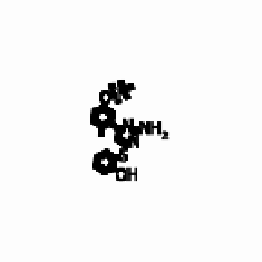 Cc1ccc(O[Si](C)(C)C(C)(C)C)cc1-c1cc(Sc2ccccc2O)nc(N)n1